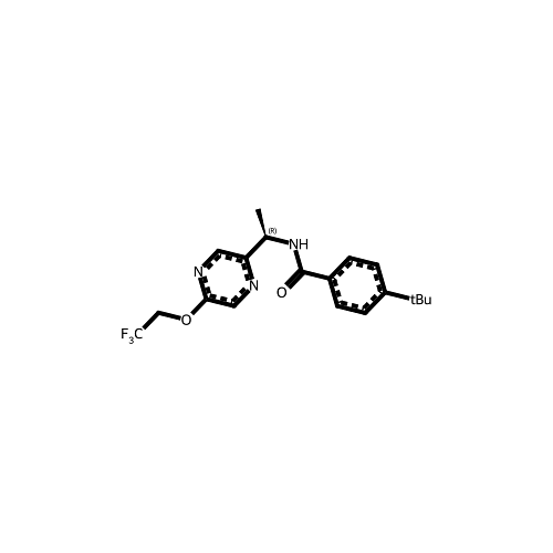 C[C@@H](NC(=O)c1ccc(C(C)(C)C)cc1)c1cnc(OCC(F)(F)F)cn1